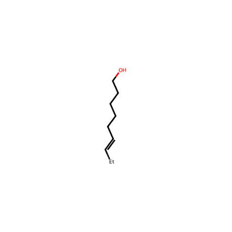 CC/C=C/CCCCCO